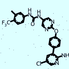 Cc1cc(NC(=O)Nc2cnc(Oc3ccc(-c4cc(Cl)cnc4N)cc3)nc2)ccc1C(F)(F)F